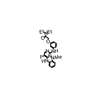 CCN(CC)C(=O)COc1cccc(Nc2ncc(F)c(Nc3ccccc3NC)n2)c1